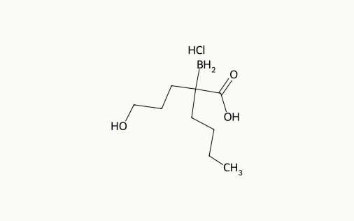 BC(CCCC)(CCCO)C(=O)O.Cl